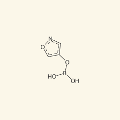 OB(O)Oc1cnoc1